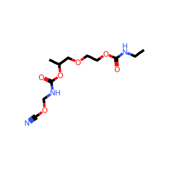 CCNC(=O)OCCOCC(C)OC(=O)NCOC#N